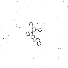 c1ccc(-c2cc(-c3ccccc3)cc(-n3c4ccccc4c4cc5oc6c7ccccc7ccc6c5cc43)c2)cc1